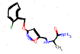 CC(NCc1cc(OCc2ccccc2F)no1)C(N)=O